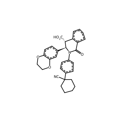 N#CC1(c2ccc(N3C(=O)c4ccccc4[C@@H](C(=O)O)[C@@H]3c3ccc4c(c3)OCCO4)cc2)CCCCC1